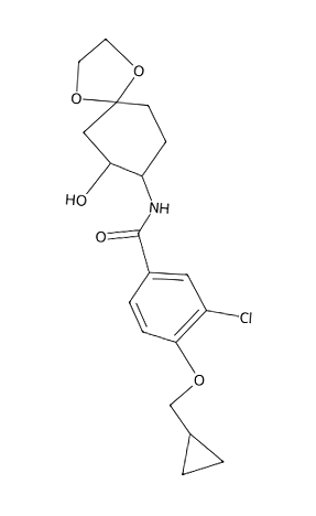 O=C(NC1CCC2(CC1O)OCCO2)c1ccc(OCC2CC2)c(Cl)c1